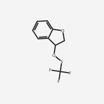 FC(F)(F)SOC1COc2ccccc21